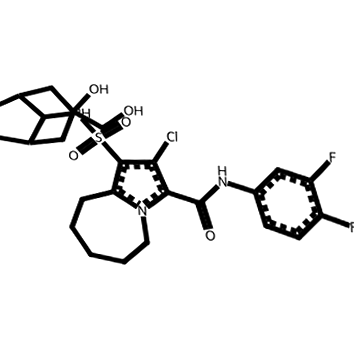 O=C(Nc1ccc(F)c(F)c1)c1c(Cl)c(S(=O)(=O)NC2C3CCC2CC(O)(CO)C3)c2n1CCCCC2